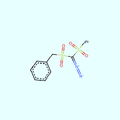 CC(C)S(=O)(=O)C(=[N+]=[N-])S(=O)(=O)Cc1ccccc1